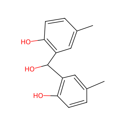 Cc1ccc(O)c(C(O)c2cc(C)ccc2O)c1